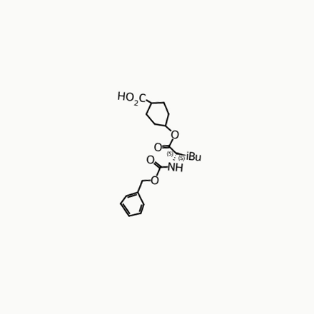 CC[C@H](C)[C@H](NC(=O)OCc1ccccc1)C(=O)OC1CCC(C(=O)O)CC1